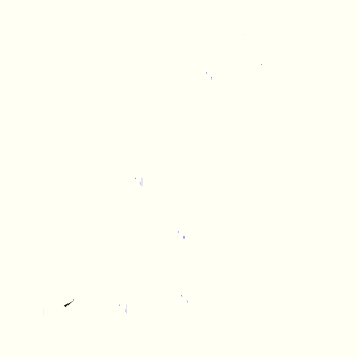 CCc1cc2ncc(N[C@@H](C)c3cc(NC(=O)c4ccc(C(F)(F)F)nc4)ccc3F)nc2o1